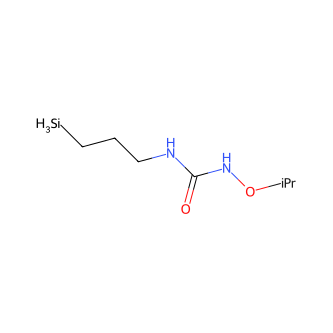 CC(C)ONC(=O)NCCC[SiH3]